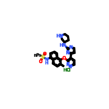 CCCS(=O)(=O)Nc1cccc2c(Oc3nnccc3-c3ccnc(NC4CCCNC4)n3)c(C)ccc12.Cl